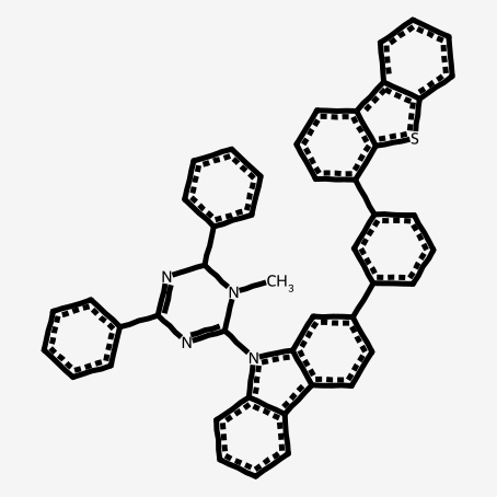 CN1C(n2c3ccccc3c3ccc(-c4cccc(-c5cccc6c5sc5ccccc56)c4)cc32)=NC(c2ccccc2)=NC1c1ccccc1